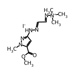 COC(=O)c1cc(NN=CC=N[N+](C)(C)C)nn1C.[I-]